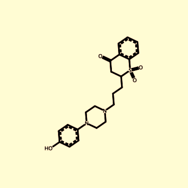 O=C1CC(CCCN2CCN(c3ccc(O)cc3)CC2)S(=O)(=O)c2ccccc21